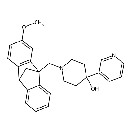 COc1ccc2c(c1)C1(CN3CCC(O)(c4cccnc4)CC3)CC2c2ccccc21